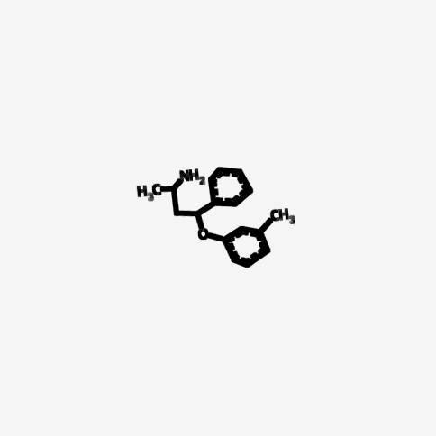 Cc1cccc(OC(CC(C)N)c2ccccc2)c1